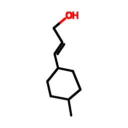 CC1CCC(/C=C/CO)CC1